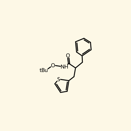 CC(C)(C)ONC(=O)C(Cc1ccccc1)Cc1cccs1